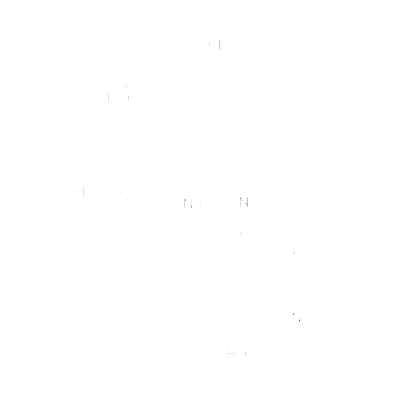 Cc1cc(-c2nc(-c3ccc(C)c(CO)c3)n3c2CCO[C@H](C)C3)ccn1